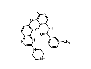 O=C(Nc1ccc(F)c(Oc2ccc3ncc(N4CCNCC4)nc3c2)c1Cl)c1cccc(C(F)(F)F)c1